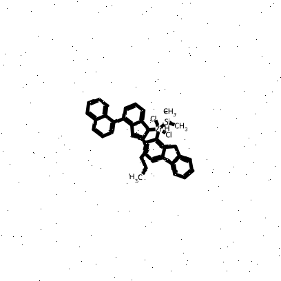 CCCCC1=Cc2c(-c3cccc4ccccc34)cccc2[CH]1[Zr]([Cl])([Cl])([c]1cccc2c1Cc1ccccc1-2)[SiH](C)C